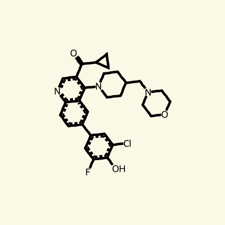 O=C(c1cnc2ccc(-c3cc(F)c(O)c(Cl)c3)cc2c1N1CCC(CN2CCOCC2)CC1)C1CC1